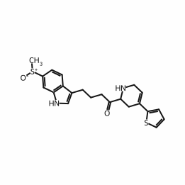 C[S+]([O-])c1ccc2c(CCCC(=O)C3CC(c4cccs4)=CCN3)c[nH]c2c1